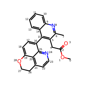 COC(=O)Cc1c(C)nc2ccccc2c1-c1ccc2c3c(ccnc13)CCO2